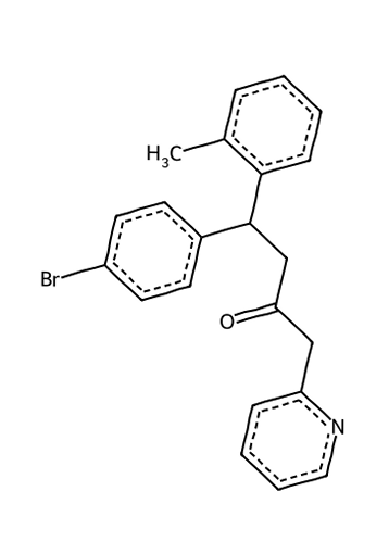 Cc1ccccc1C(CC(=O)Cc1ccccn1)c1ccc(Br)cc1